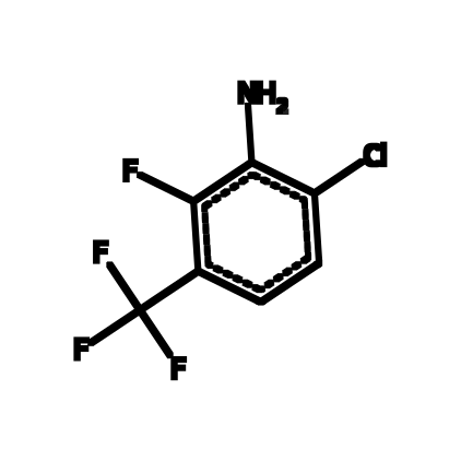 Nc1c(Cl)ccc(C(F)(F)F)c1F